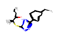 CCC(=O)C(C)Sc1nnc(-c2ccc(CC)cc2)[nH]1